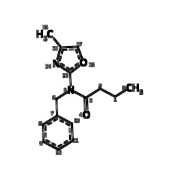 CCCC(=O)N(Cc1ccccc1)c1nc(C)co1